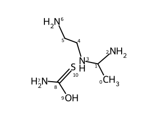 CC(N)NCCN.NC(O)=S